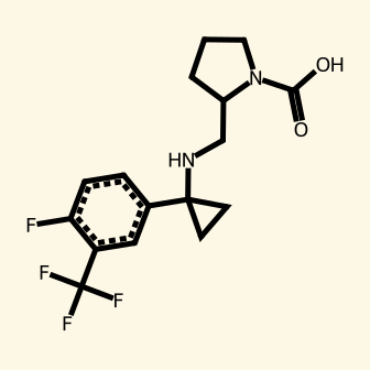 O=C(O)N1CCCC1CNC1(c2ccc(F)c(C(F)(F)F)c2)CC1